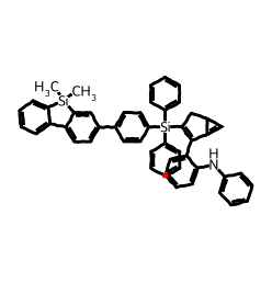 C[Si]1(C)c2ccccc2-c2ccc(-c3ccc([Si](C4=C(c5ccccc5Nc5ccccc5)C5=CC5C4)(c4ccccc4)c4ccccc4)cc3)cc21